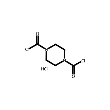 Cl.O=C(Cl)N1CCN(C(=O)Cl)CC1